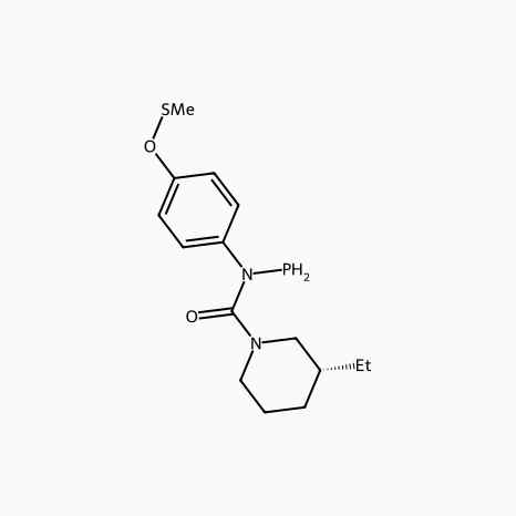 CC[C@@H]1CCCN(C(=O)N(P)c2ccc(OSC)cc2)C1